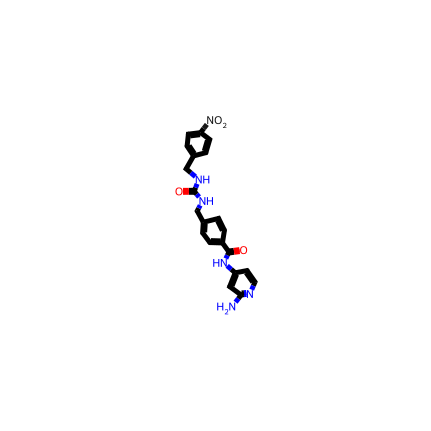 Nc1cc(NC(=O)c2ccc(CNC(=O)NCc3ccc([N+](=O)[O-])cc3)cc2)ccn1